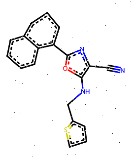 N#Cc1nc(-c2cccc3ccccc23)oc1NCc1cccs1